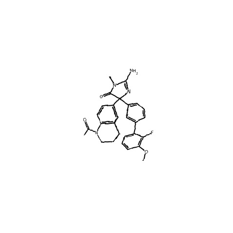 COc1cccc(-c2cccc(C3(c4ccc5c(c4)CCCN5C(C)=O)N=C(N)N(C)C3=O)c2)c1F